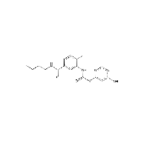 CCCCNC(=O)c1ccc(C)c(NC(=O)N(C)c2cc(NC)ncn2)c1